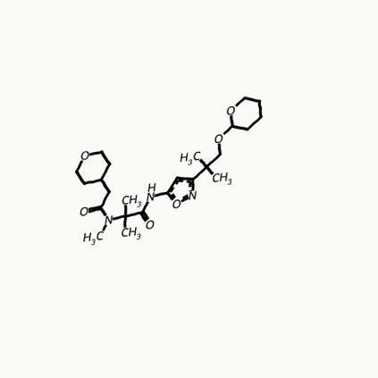 CN(C(=O)CC1CCOCC1)C(C)(C)C(=O)Nc1cc(C(C)(C)COC2CCCCO2)no1